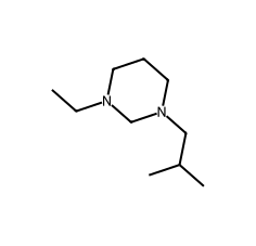 CCN1CCCN(CC(C)C)C1